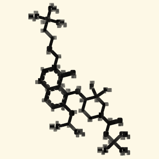 CC(C)Oc1ccc2ncn(COCC[Si](C)(C)C)c(=O)c2c1OC1CCN(C(=O)OC(C)(C)C)CC1(F)F